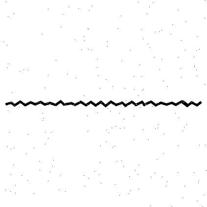 CCCC=CCCCCCCCCCCCCCCCCCCCCCCCCCCCCCCCCCCC